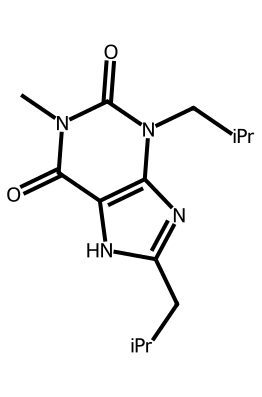 CC(C)Cc1nc2c([nH]1)c(=O)n(C)c(=O)n2CC(C)C